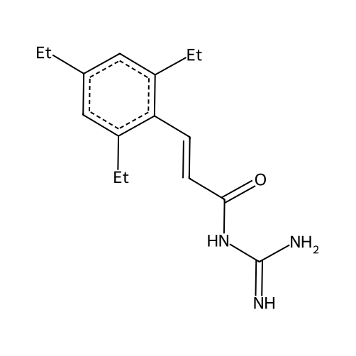 CCc1cc(CC)c(C=CC(=O)NC(=N)N)c(CC)c1